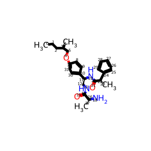 CCCC(C)COc1ccc([C@H](CNC(=O)[C@@H](C)N)NC(=O)[C@@H](C)c2ccccc2)cc1